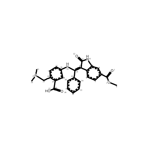 COC(=O)c1ccc2c(c1)NC(=O)/C2=C(\Nc1ccc(CN(C)C)c(C(=O)O)c1)c1ccccc1